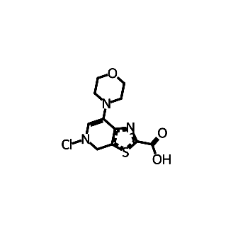 O=C(O)c1nc2c(s1)CN(Cl)C=C2N1CCOCC1